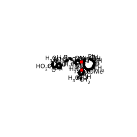 CC[C@H]1OC(=O)[C@H](C)[C@@H](O[C@H]2C[C@@](C)(OC)[C@@H](OCCN(C)CCOc3ccc4c(=O)c(C(=O)O)cn(N(C)C)c4c3)[C@H](C)O2)[C@H](C)[C@@H](O[C@@H]2O[C@H](C)C[C@H](N(C)C)[C@H]2O)[C@](C)(OC)C[C@@H](C)C(=O)[C@@H](O)[C@]1(C)O